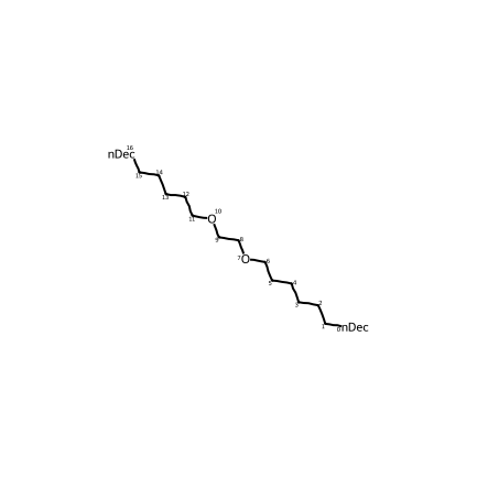 CCCCCCCCCCCCCCCCOCCOCCCCCCCCCCCCCCC